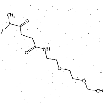 CCOCCOCCNC(=O)CCC(=O)C(C)C